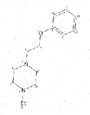 CCN1CCN(CCOc2c[c]ccc2)CC1